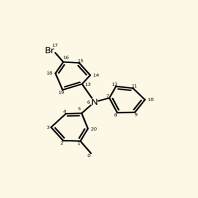 Cc1cccc(N(c2ccccc2)c2ccc(Br)cc2)c1